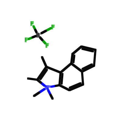 CC1=C(C)[N+](C)(C)c2ccc3ccccc3c21.F[B-](F)(F)F